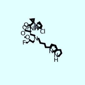 CO[C@H](CF)CN(CCCCc1ccc2c(n1)NCCC2)CC[C@H](NC(=O)C1(n2ccc(Cl)n2)CC1)C(=O)O